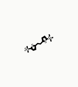 [CH3][Sn]([CH3])([CH3])[c]1ccc(CCc2cc[c]([Sn]([CH3])([CH3])[CH3])s2)s1